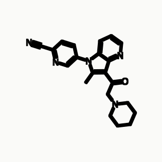 Cc1c(C(=O)CN2CCCCC2)c2ncccc2n1-c1ccc(C#N)nc1